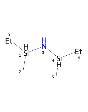 CC[SiH](C)N[SiH](C)CC